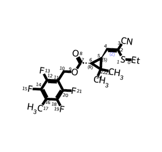 CCS/C(C#N)=C\[C@@H]1[C@@H](C(=O)OCc2c(F)c(F)c(C)c(F)c2F)C1(C)C